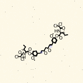 CC[C@@H](C)[C@H](NC(=O)C(Cl)Cl)C(=O)Oc1ccc(/C=C/C(=O)CC(=O)/C=C/c2ccc(OC(=O)[C@@H](NC(=O)C(Cl)Cl)[C@H](C)CC)c(OC)c2)cc1OC